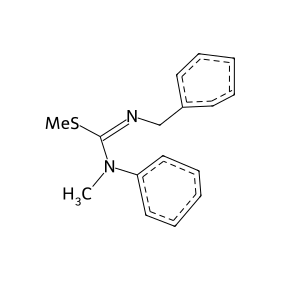 CSC(=NCc1ccccc1)N(C)c1ccccc1